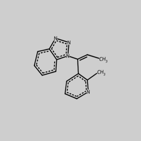 C/C=C(\c1cccnc1C)n1nnc2ccccc21